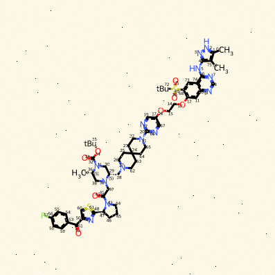 Cc1[nH]nc(Nc2ncnc3cc(OCCOc4cnc(N5CCC6(CCN(C[C@H]7CN(C(=O)OC(C)(C)C)[C@@H](C)CN7CC(=O)N7CCC[C@H]7c7nc(C(=O)c8ccc(F)cc8)cs7)CC6)CC5)nc4)c(S(=O)(=O)C(C)(C)C)cc23)c1C